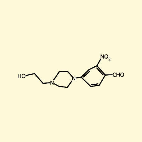 O=Cc1ccc(N2CCN(CCO)CC2)cc1[N+](=O)[O-]